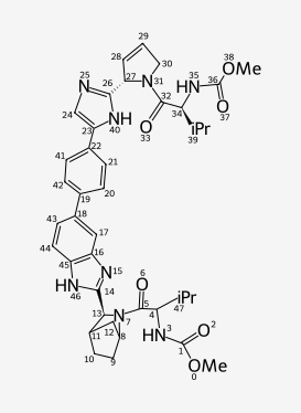 COC(=O)NC(C(=O)N1C2CCC(C2)[C@H]1c1nc2cc(-c3ccc(-c4cnc([C@@H]5C=CCN5C(=O)[C@@H](NC(=O)OC)C(C)C)[nH]4)cc3)ccc2[nH]1)C(C)C